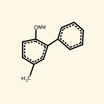 [CH2]c1ccc(OC)c(-c2ccccc2)c1